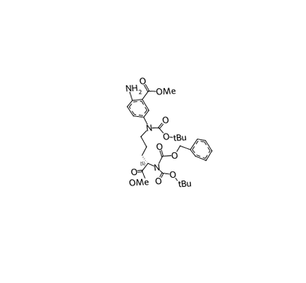 COC(=O)c1cc(N(CCC[C@@H](C(=O)OC)N(C(=O)OCc2ccccc2)C(=O)OC(C)(C)C)C(=O)OC(C)(C)C)ccc1N